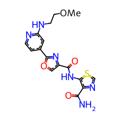 COCCNc1cc(-c2nc(C(=O)Nc3scnc3C(N)=O)co2)ccn1